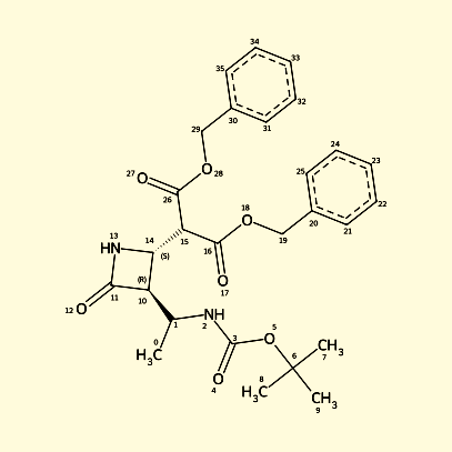 CC(NC(=O)OC(C)(C)C)[C@H]1C(=O)N[C@@H]1C(C(=O)OCc1ccccc1)C(=O)OCc1ccccc1